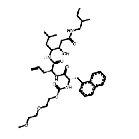 C=CC[C@H](NC(=O)[C@H](Cc1cccc2ccccc12)NC(=O)OCCOCCOC)C(=O)NC(CC(C)C)C(O)CC(=O)NCC(C)CC